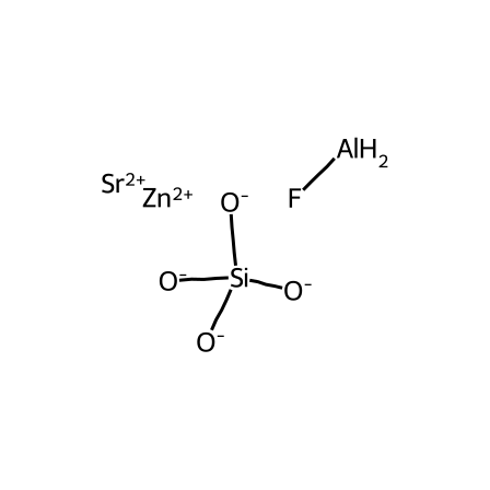 [F][AlH2].[O-][Si]([O-])([O-])[O-].[Sr+2].[Zn+2]